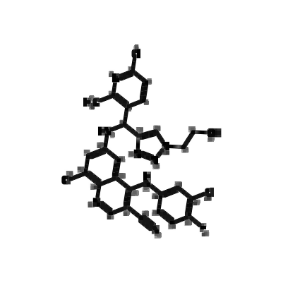 Cc1nc(Cl)ccc1C(Nc1cc(Cl)c2ncc(C#N)c(Nc3ccc(F)c(Cl)c3)c2c1)c1cn(CCO)nn1